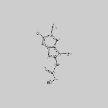 Cc1nc2c(cc1Cl)nc(NC(=O)CC(C)(C)C)n2C(C)(C)C